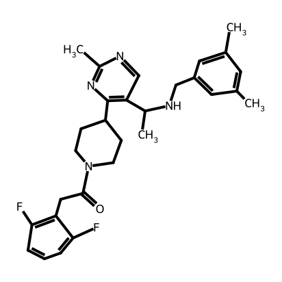 Cc1cc(C)cc(CNC(C)c2cnc(C)nc2C2CCN(C(=O)Cc3c(F)cccc3F)CC2)c1